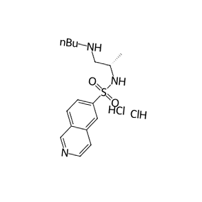 CCCCNC[C@H](C)NS(=O)(=O)c1ccc2cnccc2c1.Cl.Cl